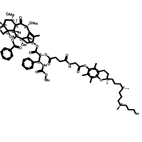 CO[C@H]1C(=O)[C@]2(C)[C@@H](OC)C[C@H]3OC[C@@]3(OC(C)=O)[C@H]2[C@H](OC(=O)c2ccccc2)[C@]2(O)C[C@H](OC(=O)[C@H](OC(=O)CCC(=O)NCC(=O)Oc3c(C)c(C)c4c(c3C)CC[C@@](C)(CCC[C@H](C)CCC[C@H](C)CCCC(C)C)O4)[C@@H](NC(=O)OC(C)(C)C)c3ccccc3)C(C)=C1C2(C)C